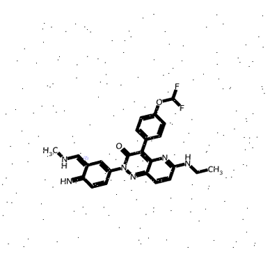 CCNc1ccc2nn(C3=C/C(=C/NC)C(=N)C=C3)c(=O)c(-c3ccc(OC(F)F)cc3)c2n1